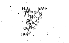 CSc1ncc2c(n1)N(C13CC(C1)[C@H]3C)C(=O)[C@]1(CCN(C(=O)OC(C)(C)C)C1=O)C2